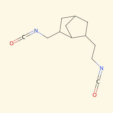 O=C=NCCC1CC2CC(CN=C=O)C1C2